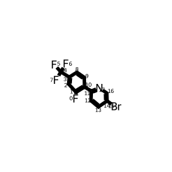 Fc1cc(C(F)(F)F)ccc1-c1ccc(Br)cn1